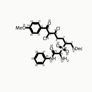 CCCCCCCCCCCC(CCC(Cl)C(Cl)C(=O)c1ccc(OC)cc1)S(=O)(=O)C(N)C(=O)Nc1ccccc1